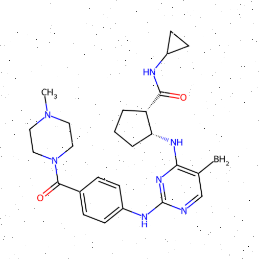 Bc1cnc(Nc2ccc(C(=O)N3CCN(C)CC3)cc2)nc1N[C@@H]1CCC[C@@H]1C(=O)NC1CC1